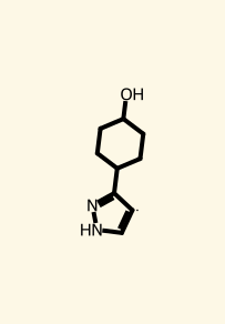 OC1CCC(c2[c]c[nH]n2)CC1